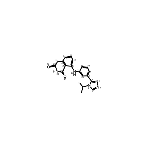 CC(C)n1cnnc1-c1cccc(Nc2cccc3c2C(=O)NC(=O)C3)c1